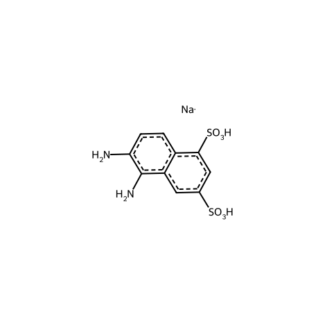 Nc1ccc2c(S(=O)(=O)O)cc(S(=O)(=O)O)cc2c1N.[Na]